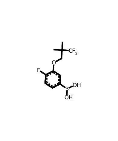 CC(C)(COc1cc(B(O)O)ccc1F)C(F)(F)F